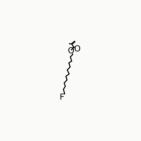 C=C(C)C(=O)OCCCCCCCCCCCCCF